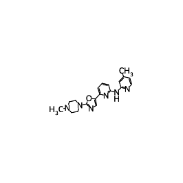 Cc1ccnc(Nc2cccc(-c3cnc(N4CCN(C)CC4)o3)n2)c1